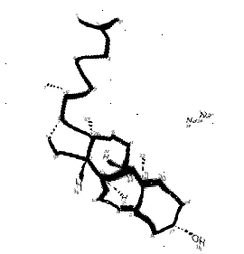 CC(C)CCC[C@@H](C)[C@H]1CC[C@H]2[C@@H]3CC=C4C[C@@H](O)CC[C@]4(C)[C@H]3CC[C@]12C.[Na].[Na]